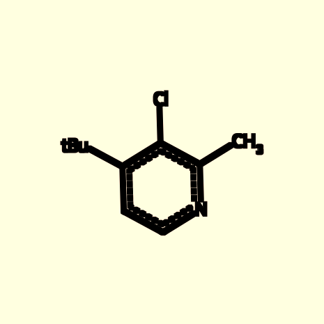 Cc1nccc(C(C)(C)C)c1Cl